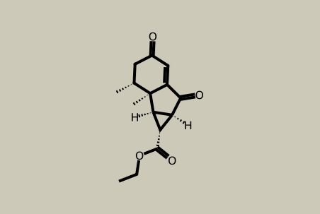 CCOC(=O)[C@H]1[C@@H]2C(=O)C3=CC(=O)C[C@@H](C)[C@]3(C)[C@H]12